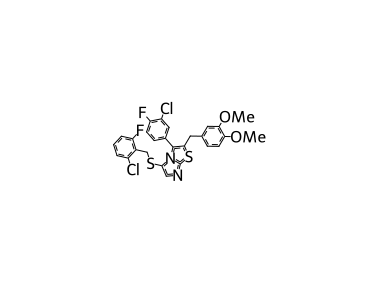 COc1ccc(Cc2sc3ncc(SCc4c(F)cccc4Cl)n3c2-c2ccc(F)c(Cl)c2)cc1OC